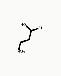 CNCCC(O)O